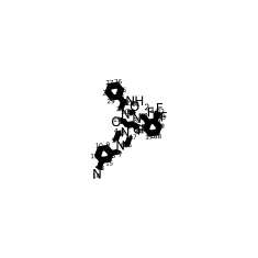 Cc1c(N2CCN(Cc3cccc(C#N)c3)CC2)c(=O)n(CC(N)c2ccccc2)c(=O)n1Cc1c(F)cccc1C(F)(F)F